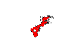 C=Cc1c(C)c2cc3nc(cc4[nH]c(cc5nc(cc1[nH]2)C(C)=C5CCC(=O)OCCSSCC(NC(C)=O)C(=O)N[C@@H](CCCNC(=N)N)C(=O)NCC(=O)N[C@@H](CC(=O)O)C(=O)N[C@@H](CCCNC(=N)N)C(=O)O)c(CCC(=O)OC)c4C)[C@@]1(C)C3=CC=C(C(=O)OC)[C@H]1C(=O)OC